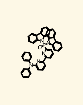 O=P(c1cccc(-c2cccc(N(c3ccccc3)c3ccccc3)n2)n1)(n1c2ccccc2c2ccccc21)n1c2ccccc2c2ccccc21